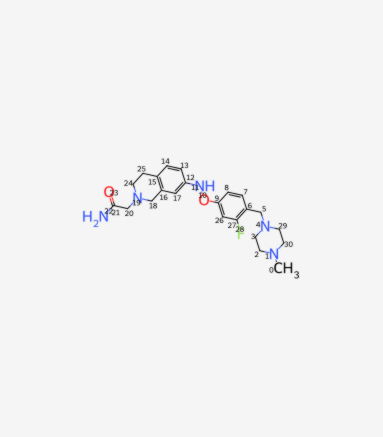 CN1CCN(Cc2ccc(ONc3ccc4c(c3)CN(CC(N)=O)CC4)cc2F)CC1